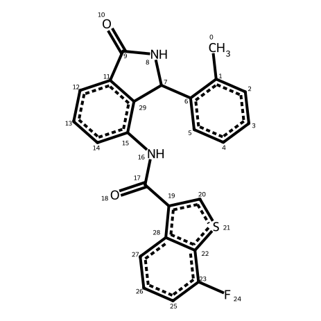 Cc1ccccc1C1NC(=O)c2cccc(NC(=O)c3csc4c(F)cccc34)c21